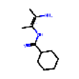 C/C(N)=C(\C)NC(=N)C1CCCCC1